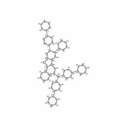 c1ccc(-c2ccc(-c3cc4oc5c6ccccc6c(N(c6ccc(-c7ccccc7)cc6)c6ccc(-c7ccccc7)cc6)cc5c4cc3-c3ccccc3)cc2)cc1